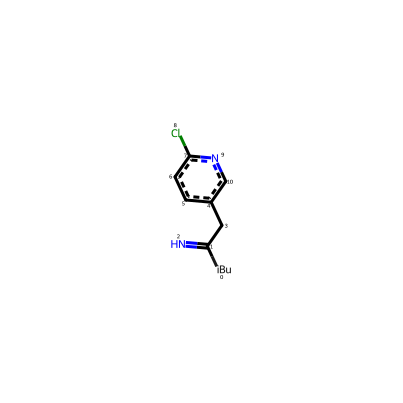 CCC(C)C(=N)Cc1ccc(Cl)nc1